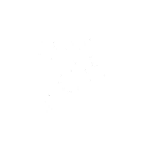 COC(=O)C1C=C(OC(=O)c2cscn2)C(=O)C2C1(C)CCC1C(=O)OC(c3ccoc3)CC12C